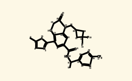 Cc1cnc(-c2cc(C(=O)NC(C)c3cnc(C(F)(F)F)nc3)cc3c2OCC(=O)N3CC2CC(F)(F)C2)s1